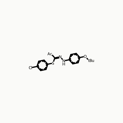 CC(=O)C(=NNc1ccc(OC(C)(C)C)cc1)Sc1ccc(Cl)cc1